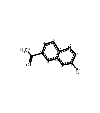 CC(=O)c1ccc2ncc(Br)cc2c1